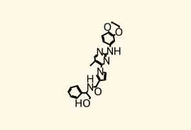 Cc1cnc(Nc2ccc3c(c2)OCCO3)nc1-n1ccc(C(=O)NC(CO)c2ccccc2)c1